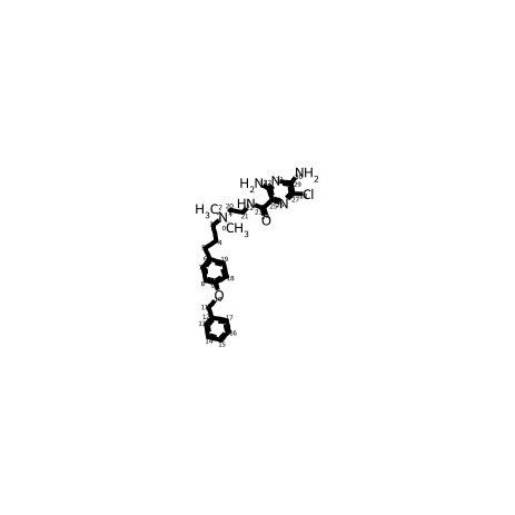 C[N+](C)(CCCc1ccc(OCc2ccccc2)cc1)CCNC(=O)c1nc(Cl)c(N)nc1N